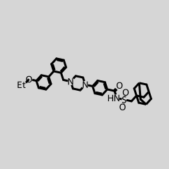 CCOc1cccc(-c2ccccc2CN2CCN(c3ccc(C(=O)NS(=O)(=O)CC45CC6CC(CC(C6)C4)C5)cc3)CC2)c1